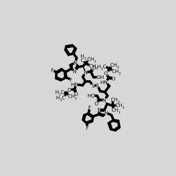 CC(C)(C)OC(=O)NCC(CSSCC(CNC(=O)OC(C)(C)C)CN(C(=O)CO)[C@@H](c1nc(-c2cc(F)ccc2F)cn1Cc1ccccc1)C(C)(C)C)CN(C(=O)CO)[C@@H](c1nc(-c2cc(F)ccc2F)cn1Cc1ccccc1)C(C)(C)C